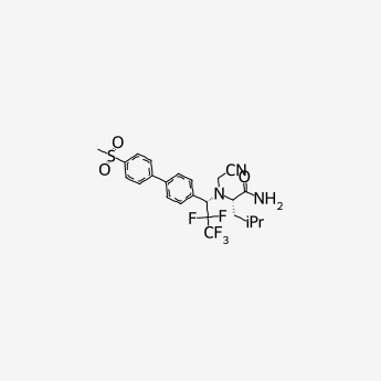 CC(C)C[C@@H](C(N)=O)N(CC#N)[C@@H](c1ccc(-c2ccc(S(C)(=O)=O)cc2)cc1)C(F)(F)C(F)(F)F